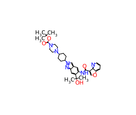 CC(C)(C)OC(=O)N1CCN(C2CCC(n3cc4cc(NC(=O)c5coc6cccnc56)c(C(C)(C)O)cc4n3)CC2)CC1